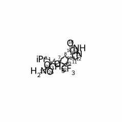 CC(C)C[C@@](C)(COc1ccc(-c2ccnc3c2CC(=O)N3)cc1C(F)(F)F)OC(N)=O